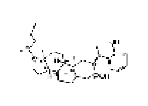 CCC[C@@H](C)[C@H]1CC[C@H]2[C@@H]3CCC4C[C@H](O)[C@H](N(C)c5ccccc5O)C[C@]4(C)[C@H]3CC[C@]12C